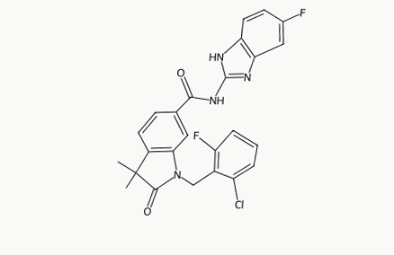 CC1(C)C(=O)N(Cc2c(F)cccc2Cl)c2cc(C(=O)Nc3nc4cc(F)ccc4[nH]3)ccc21